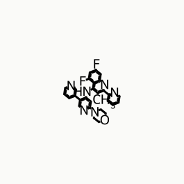 Cc1c(-c2ccccn2)nc2cc(F)cc(F)c2c1Nc1cc(N2CCOCC2)ncc1-c1cccnc1